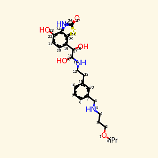 CC(C)OCCCNCc1cccc(CCNC(O)C(O)c2ccc(O)c3[nH]c(=O)sc23)c1